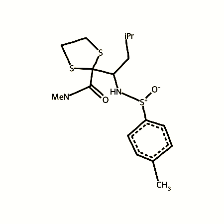 CNC(=O)C1(C(CC(C)C)N[S+]([O-])c2ccc(C)cc2)SCCS1